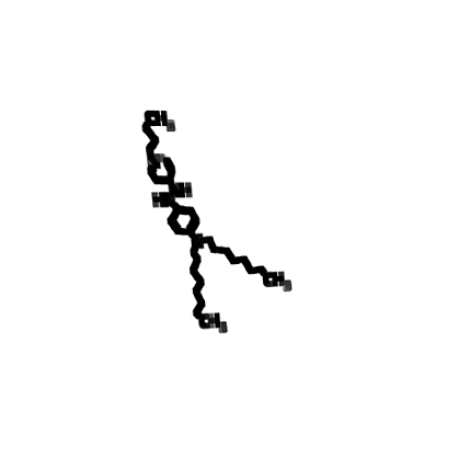 CCCCCCCCN(CCCCCCCC)c1ccc(NNc2cc[n+](CCCC)cc2)cc1